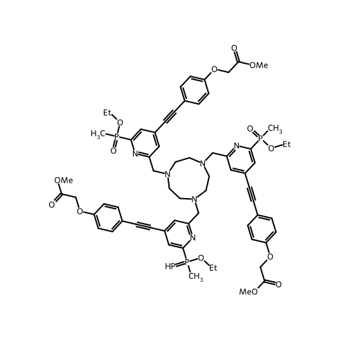 CCOP(C)(=O)c1cc(C#Cc2ccc(OCC(=O)OC)cc2)cc(CN2CCN(Cc3cc(C#Cc4ccc(OCC(=O)OC)cc4)cc(P(C)(=O)OCC)n3)CCN(Cc3cc(C#Cc4ccc(OCC(=O)OC)cc4)cc(P(C)(=P)OCC)n3)CC2)n1